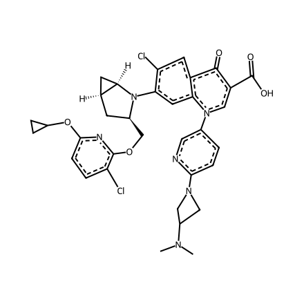 CN(C)C1CN(c2ccc(-n3cc(C(=O)O)c(=O)c4cc(Cl)c(N5[C@@H](COc6nc(OC7CC7)ccc6Cl)C[C@H]6C[C@H]65)cc43)cn2)C1